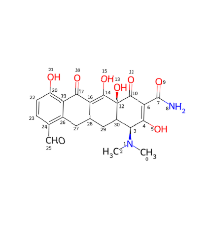 CN(C)[C@@H]1C(O)=C(C(N)=O)C(=O)[C@@]2(O)C(O)=C3C(=O)c4c(O)ccc(C=O)c4CC3CC12